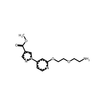 COC(=O)c1cnn(-c2ccnc(OCCOCCN)c2)c1